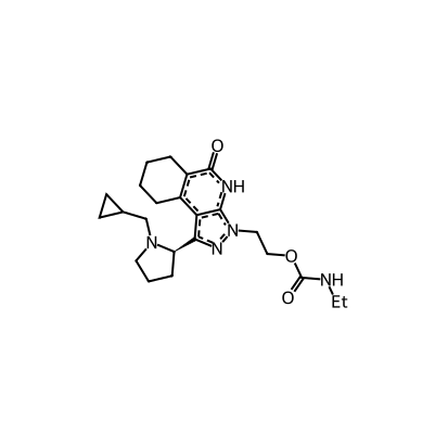 CCNC(=O)OCCn1nc([C@H]2CCCN2CC2CC2)c2c3c(c(=O)[nH]c21)CCCC3